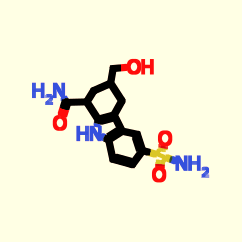 NC(=O)C1CC(CO)Cc2c1[nH]c1ccc(S(N)(=O)=O)cc21